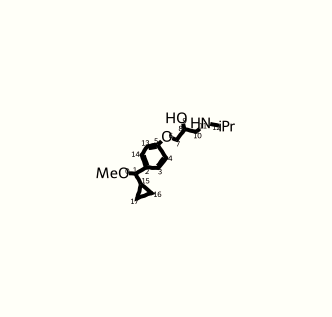 COC(c1ccc(OCC(O)CNC(C)C)cc1)C1CC1